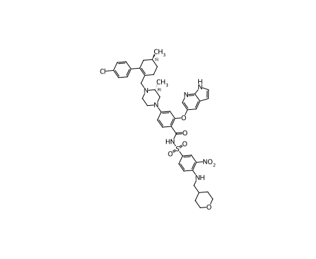 C[C@H]1CCC(CN2CCN(c3ccc(C(=O)NS(=O)(=O)c4ccc(NCC5CCOCC5)c([N+](=O)[O-])c4)c(Oc4cnc5[nH]ccc5c4)c3)C[C@H]2C)=C(c2ccc(Cl)cc2)C1